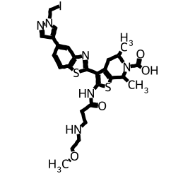 COCCNCCC(=O)Nc1sc2c(c1-c1nc3cc(-c4cnn(CI)c4)ccc3s1)CC(C)N(C(=O)O)C2C